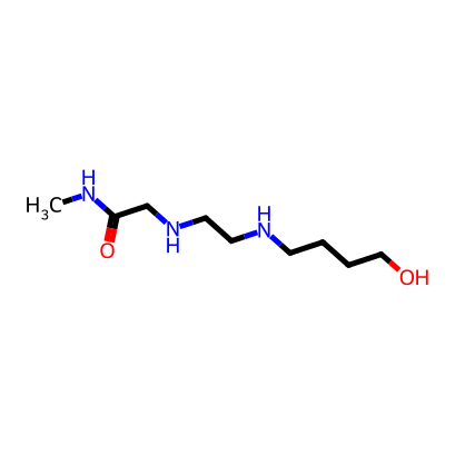 CNC(=O)CNCCNCCCCO